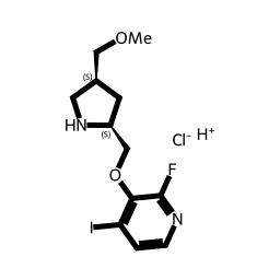 COC[C@@H]1CN[C@H](COc2c(I)ccnc2F)C1.[Cl-].[H+]